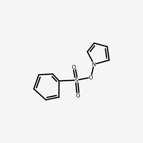 O=S(=O)(On1cccc1)c1ccccc1